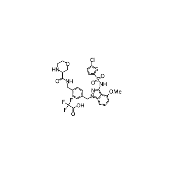 COc1cccc2c1c(NS(=O)(=O)c1ccc(Cl)s1)nn2Cc1ccc(CNC(=O)C2COCCN2)cc1.O=C(O)C(F)(F)F